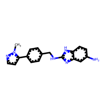 Cn1nccc1-c1ccc(CNc2nc3cc(N)ccc3[nH]2)cc1